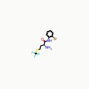 N[C@@H](CCSC(F)(F)F)C(=O)Nc1ccccc1Br